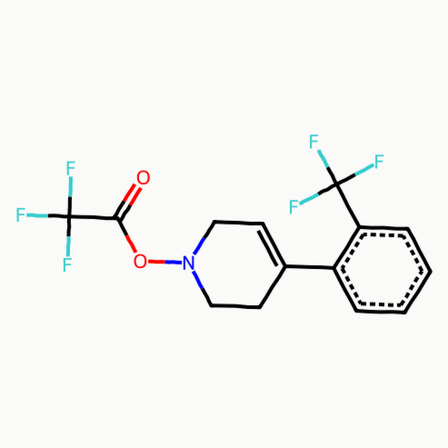 O=C(ON1CC=C(c2ccccc2C(F)(F)F)CC1)C(F)(F)F